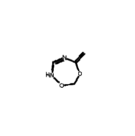 C=C1N=CNOCO1